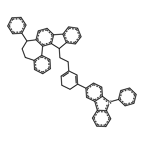 C1=C(CCC2c3ccccc3-c3ccc4c(c32)-c2ccccc2CCC4c2ccccc2)C=C(c2ccc3c(c2)c2ccccc2n3-c2ccccc2)CC1